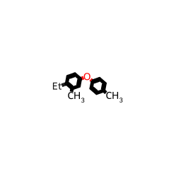 CCc1ccc(Oc2ccc(C)cc2)cc1C